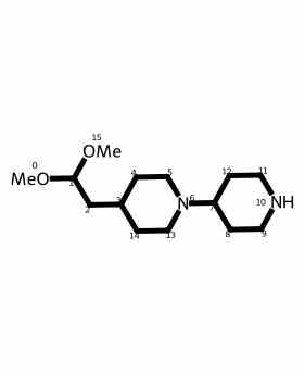 COC(CC1CCN(C2CCNCC2)CC1)OC